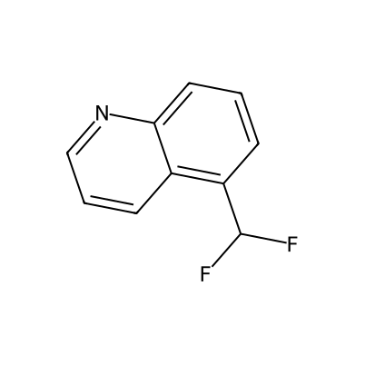 FC(F)c1cccc2ncccc12